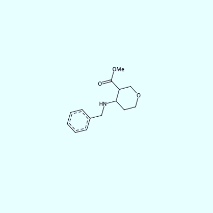 COC(=O)C1COCCC1NCc1ccccc1